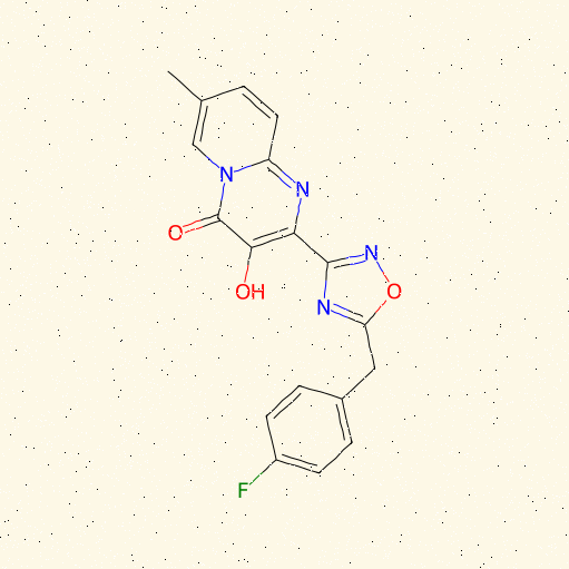 Cc1ccc2nc(-c3noc(Cc4ccc(F)cc4)n3)c(O)c(=O)n2c1